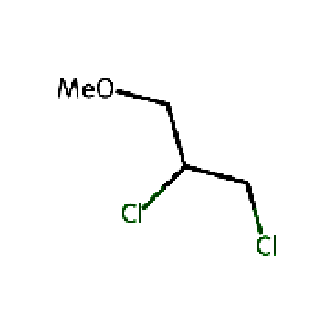 [CH2]OCC(Cl)CCl